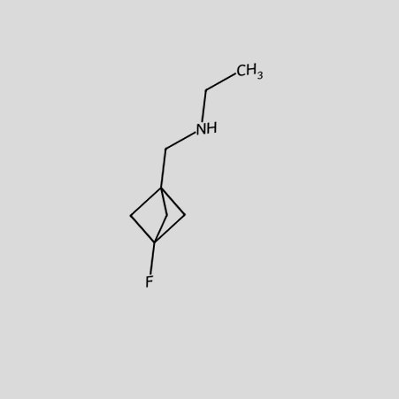 CCNCC12CC(F)(C1)C2